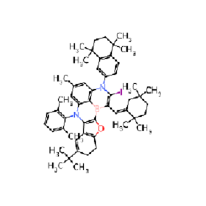 Cc1cc2c3c(c1)N(c1c(C)cccc1C)c1c(oc4c1C=C(C(C)(C)C)CC4)B3C(/C=C1\CC(C)(C)CCC1(C)C)=C(I)N2c1ccc2c(c1)C(C)(C)CCC2(C)C